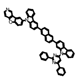 c1ccc(-c2cc(-n3c4ccccc4c4ccc(-c5ccc6cc(-c7ccc8c(c7)c7ccccc7n8-c7ccc8oc9ccncc9c8c7)ccc6c5)cc43)nc(-c3ccccc3)n2)cc1